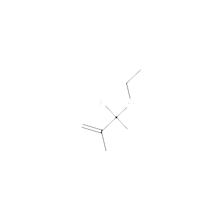 C=C(C)C(F)(F)OCC